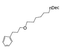 CCCCCCCCCCCCCCCCOCCCc1ccccc1